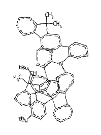 CC(C)(C)c1ccc2c(c1)-c1cc(C(C)(C)C)ccc1C21c2ccccc2-c2ccc(N(c3ccccc3-c3ccc4c(c3)C(C)(C)c3ccccc3-4)c3ccccc3-c3cccc4c3C(C)(C)c3ccccc3-4)cc21